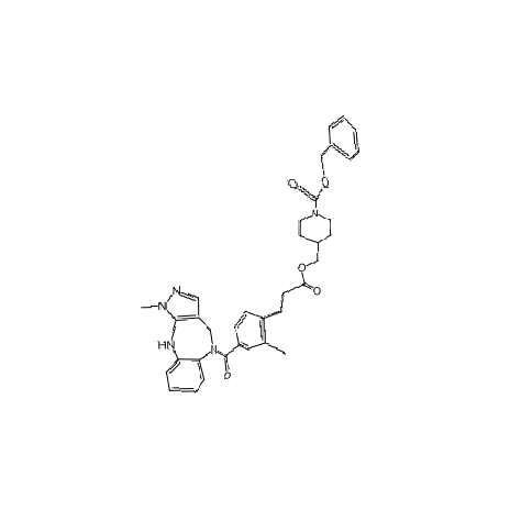 Cc1cc(C(=O)N2Cc3cnn(C)c3Nc3ccccc32)ccc1CCC(=O)OCC1CCN(C(=O)OCc2ccccc2)CC1